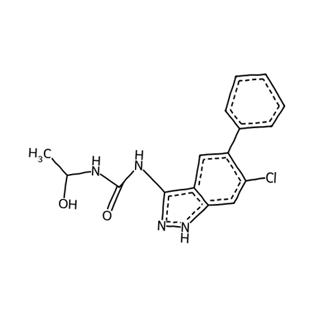 CC(O)NC(=O)Nc1n[nH]c2cc(Cl)c(-c3ccccc3)cc12